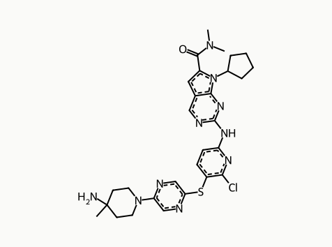 CN(C)C(=O)c1cc2cnc(Nc3ccc(Sc4cnc(N5CCC(C)(N)CC5)cn4)c(Cl)n3)nc2n1C1CCCC1